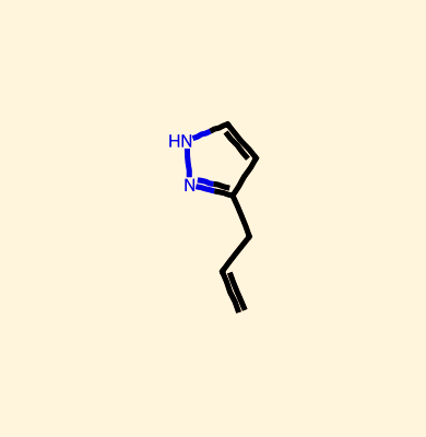 C=CCc1cc[nH]n1